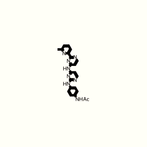 CC(=O)Nc1ccc(Nc2nccc(Nc3ccnc(-c4cccc(C)n4)n3)n2)cc1